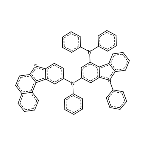 c1ccc(N(c2ccc3sc4ccc5ccccc5c4c3c2)c2cc(N(c3ccccc3)c3ccccc3)c3c4ccccc4n(-c4ccccc4)c3c2)cc1